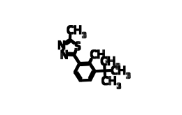 Cc1nnc(-c2cccc(C(C)(C)C)c2C)s1